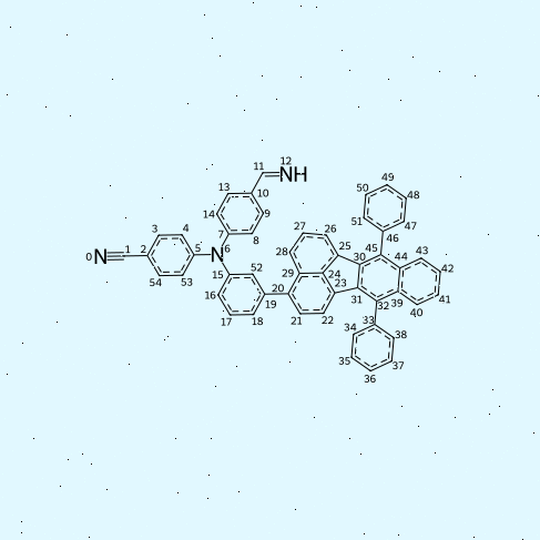 N#Cc1ccc(N(c2ccc(C=N)cc2)c2cccc(-c3ccc4c5c(cccc35)-c3c-4c(-c4ccccc4)c4ccccc4c3-c3ccccc3)c2)cc1